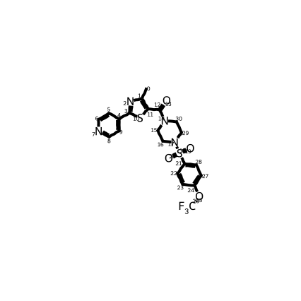 Cc1nc(-c2ccncc2)sc1C(=O)N1CCN(S(=O)(=O)c2ccc(OC(F)(F)F)cc2)CC1